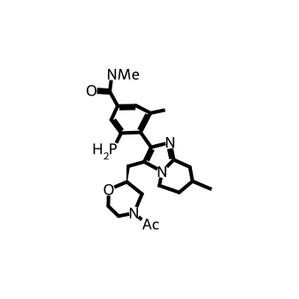 CNC(=O)c1cc(C)c(-c2nc3n(c2C[C@H]2CN(C(C)=O)CCO2)CCC(C)C3)c(P)c1